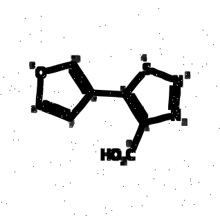 O=C(O)c1nnsc1-c1ccoc1